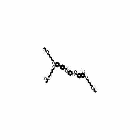 C=CC(=O)OCCCCCCOc1cc(CC)c2cc(C(=O)Oc3ccc(OC(=O)c4ccc(-c5ccc(OCCCCCCOC(=O)C=C)c(OCCCCCCOC(=O)C=C)c5)cc4)cc3)ccc2c1